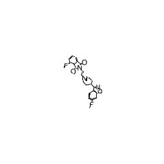 O=C1c2cccc(F)c2C(=O)N1CCN1CCC(c2noc3cc(F)ccc23)CC1